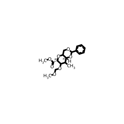 COCOC1C(C)[C@H]2OC(c3ccccc3)OCC2O[C@H]1C(=O)OC